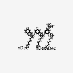 CCCCCCCCCCCCCCCC[N+](C)(C)Cc1ccccc1.CCCCCCCCCCCCCCCC[N+](C)(C)Cc1ccccc1.CCCCCCCCCCCCCCCC[N+](C)(C)Cc1ccccc1.[O-]B([O-])[O-]